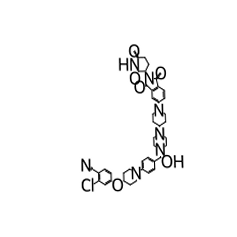 N#Cc1ccc(OC2CCN(c3ccc(C(O)N4CCN(C5CCN(c6ccc7c(c6)C(=O)N(C6CCC(=O)NC6=O)C7=O)CC5)CC4)cc3)CC2)cc1Cl